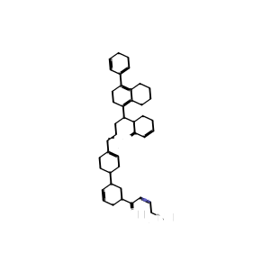 C=C(/C=C\CN)C1CC=CC(C2CC=C(CCCC(C3=C4CCCCC4=C(C4=CCCC=C4)CC3)C3CCC=CC3=C)CC2)C1